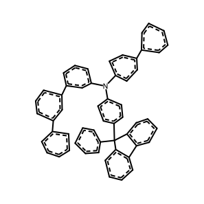 c1ccc(-c2ccc(N(c3ccc(C4(c5ccccc5)c5ccccc5-c5ccccc54)cc3)c3cccc(-c4cccc(-c5ccccc5)c4)c3)cc2)cc1